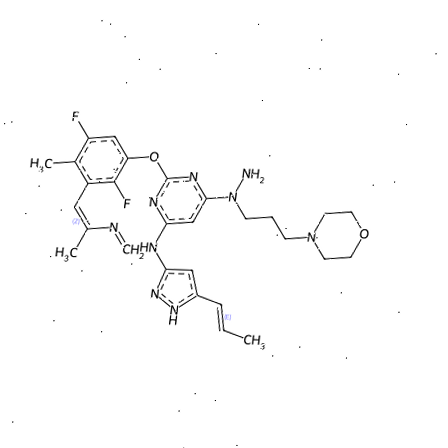 C=N/C(C)=C\c1c(C)c(F)cc(Oc2nc(Nc3cc(/C=C/C)[nH]n3)cc(N(N)CCCN3CCOCC3)n2)c1F